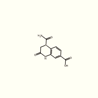 NC(=O)N1CC(=O)Nc2cc(C(=O)O)ccc21